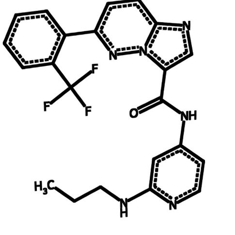 CCCNc1cc(NC(=O)c2cnc3ccc(-c4ccccc4C(F)(F)F)nn23)ccn1